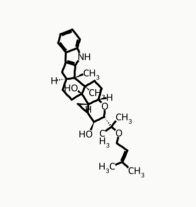 CC(C)=CCOC(C)(C)[C@H]1O[C@H]2CC[C@@]3(C)[C@@](O)(CC[C@H]4Cc5c([nH]c6ccccc56)[C@@]43C)[C@]23C[C@@H]3[C@@H]1O